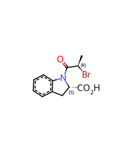 C[C@@H](Br)C(=O)N1c2ccccc2C[C@H]1C(=O)O